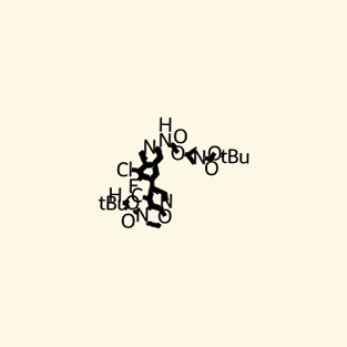 Cc1c(-c2cc3cc(NC(=O)OC4CN(C(=O)OC(C)(C)C)C4)ncc3c(Cl)c2F)cnc2c1N(C(=O)OC(C)(C)C)CCO2